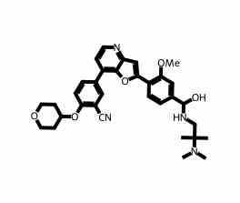 COc1cc(C(O)NCC(C)(C)N(C)C)ccc1-c1cc2nccc(-c3ccc(OC4CCOCC4)c(C#N)c3)c2o1